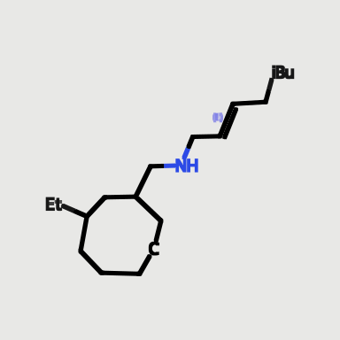 CCC(C)C/C=C/CNCC1CCCCCC(CC)C1